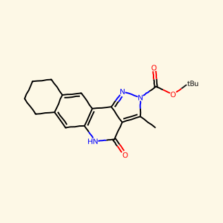 Cc1c2c(=O)[nH]c3cc4c(cc3c2nn1C(=O)OC(C)(C)C)CCCC4